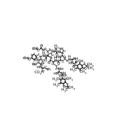 CC[C@H](C)[C@H](NC(=O)[C@H](Cc1ccc(OC(C)(C)C)cc1)NC(=O)[C@@H]1CCCN1C(=O)[C@H](CCCNC(=N)NS(=O)(=O)c1c(C)c(C)c2c(c1C)CC(C)(C)O2)NC(=O)[C@H](CCCNC(=N)NS(=O)(=O)c1c(C)c(C)c2c(c1C)CC(C)(C)O2)NC(=O)[C@@H]1CCCN1C(=O)[C@@H](N)CCCCNC(=O)OC(C)(C)C)C(=O)N[C@@H](CC(C)C)C(=O)O